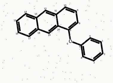 [c]1ccccc1Oc1cccc2cc3ccccc3cc12